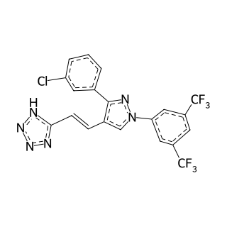 FC(F)(F)c1cc(-n2cc(C=Cc3nnn[nH]3)c(-c3cccc(Cl)c3)n2)cc(C(F)(F)F)c1